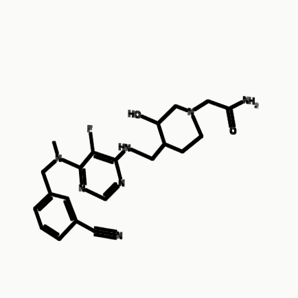 CN(Cc1cccc(C#N)c1)c1ncnc(NCC2CCN(CC(N)=O)CC2O)c1F